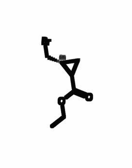 CCOC(=O)C1C[C@H]1CBr